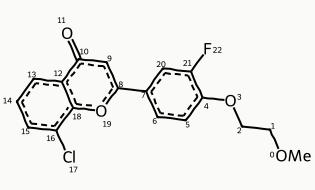 COCCOc1ccc(-c2cc(=O)c3cccc(Cl)c3o2)cc1F